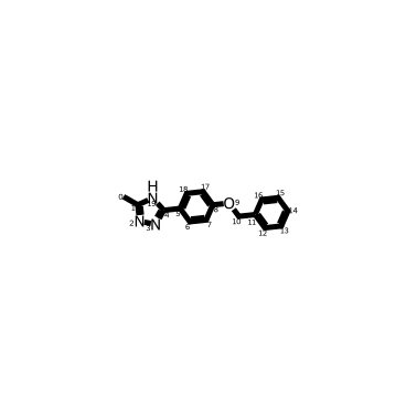 Cc1nnc(-c2ccc(OCc3ccccc3)cc2)[nH]1